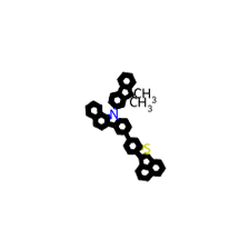 CC1(C)c2ccccc2-c2ccc(-n3c4ccc(-c5ccc6c7c(sc6c5)-c5cccc6cccc-7c56)cc4c4ccc5ccccc5c43)cc21